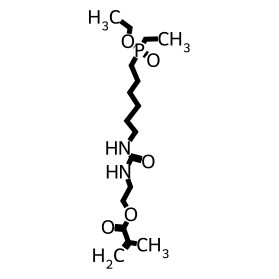 C=C(C)C(=O)OCCNC(=O)NCCCCCCP(=O)(CC)OCC